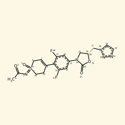 CC(=O)N=S1(=O)CC=C(c2c(F)cc(N3C[C@H](Cn4ccnn4)OC3=O)cc2F)CC1